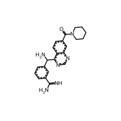 N=C(N)c1cccc(C(N)c2ncnc3cc(C(=O)N4CCCCC4)ccc23)c1